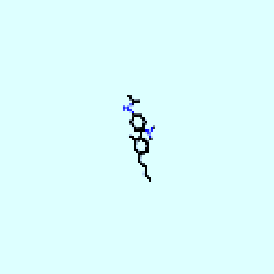 CCCCc1ccc(C2(N(C)C)CCC(NC(C)C)CC2)c(C)c1